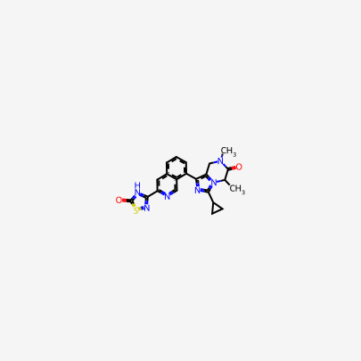 CC1C(=O)N(C)Cc2c(-c3cccc4cc(-c5nsc(=O)[nH]5)ncc34)nc(C3CC3)n21